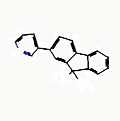 CC1(C)c2ccccc2-c2ccc(-c3cccnc3)cc21